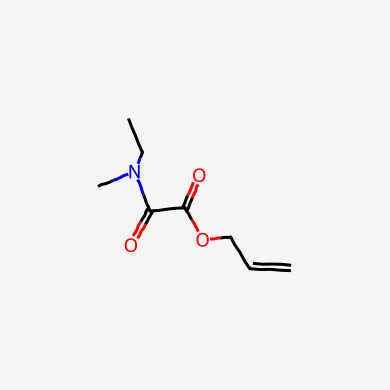 C=CCOC(=O)C(=O)N(C)CC